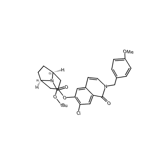 COc1ccc(Cn2ccc3cc(OC4C[C@H]5CC[C@@H](C4)N5C(=O)OC(C)(C)C)c(Cl)cc3c2=O)cc1